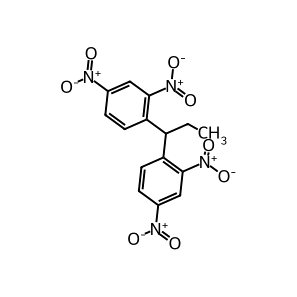 CCC(c1ccc([N+](=O)[O-])cc1[N+](=O)[O-])c1ccc([N+](=O)[O-])cc1[N+](=O)[O-]